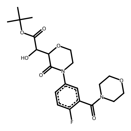 CC(C)(C)OC(=O)C(O)C1OCCN(c2ccc(F)c(C(=O)N3CCOCC3)c2)C1=O